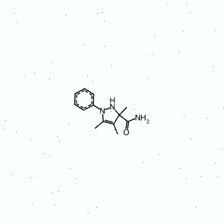 CC1=C(C)C(C)(C(N)=O)NN1c1ccccc1